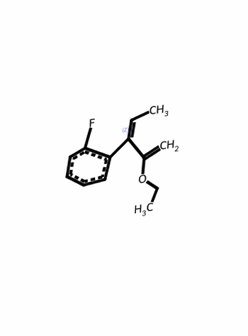 C=C(OCC)/C(=C\C)c1ccccc1F